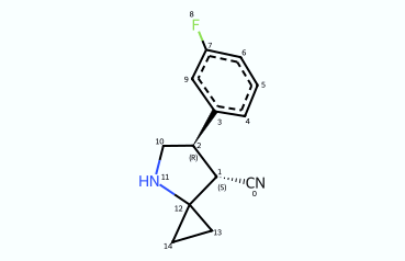 N#C[C@H]1[C@H](c2cccc(F)c2)CNC12CC2